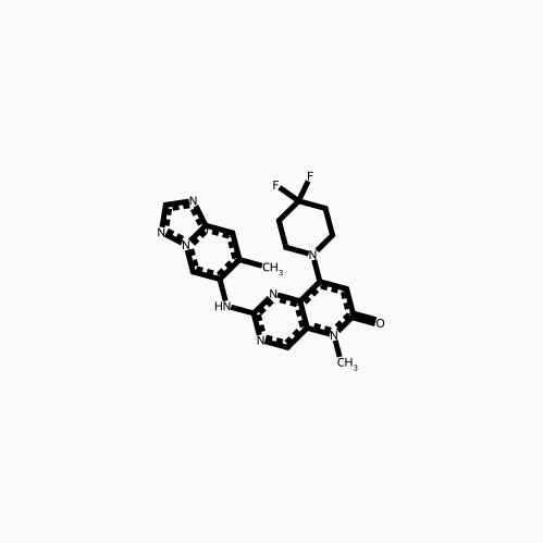 Cc1cc2ncnn2cc1Nc1ncc2c(n1)c(N1CCC(F)(F)CC1)cc(=O)n2C